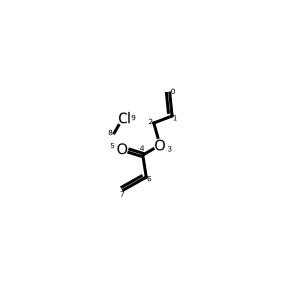 C=CCOC(=O)C=C.CCl